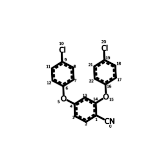 N#Cc1ccc(Oc2ccc(Cl)cc2)cc1Oc1ccc(Cl)cc1